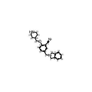 N#Cc1cc(CN2Cc3ccccc3C2)ccc1OCC1CCNCC1